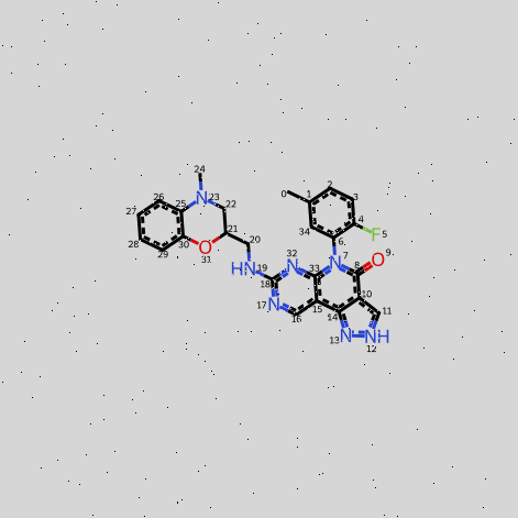 Cc1ccc(F)c(-n2c(=O)c3c[nH]nc3c3cnc(NCC4CN(C)c5ccccc5O4)nc32)c1